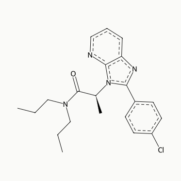 CCCN(CCC)C(=O)[C@H](C)n1c(-c2ccc(Cl)cc2)nc2cccnc21